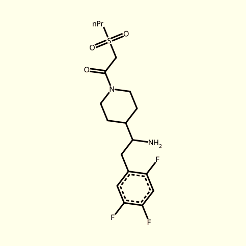 CCCS(=O)(=O)CC(=O)N1CCC(C(N)Cc2cc(F)c(F)cc2F)CC1